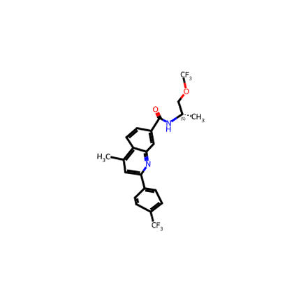 Cc1cc(-c2ccc(C(F)(F)F)cc2)nc2cc(C(=O)N[C@@H](C)COC(F)(F)F)ccc12